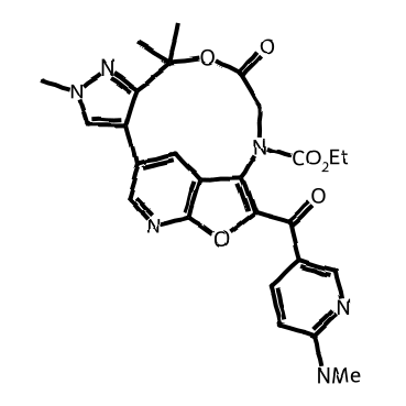 CCOC(=O)N1CC(=O)OC(C)(C)c2nn(C)cc2-c2cnc3oc(C(=O)c4ccc(NC)nc4)c1c3c2